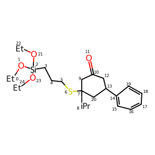 CCO[Si](CCCSC1(C(C)C)CC(=O)CC(c2ccccc2)C1)(OCC)OCC